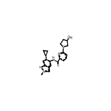 Cn1cc2cc(NC(=O)c3cccc(N4CCC(O)C4)n3)c(C3CC3)cc2n1